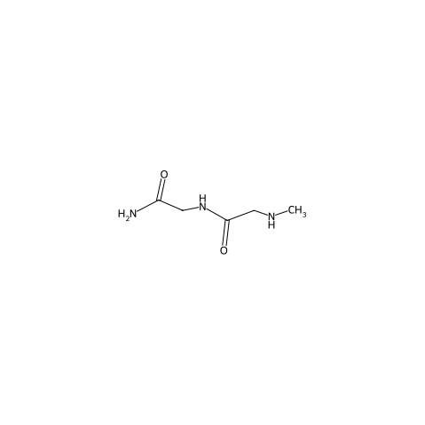 CNCC(=O)NCC(N)=O